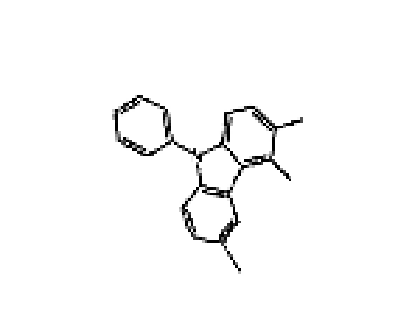 Cc1ccc2c(c1)c1c(C)c(C)ccc1n2-c1ccccc1